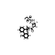 CCS(=O)(=O)NC[C@@H]1[C@H](C)CN1C(=O)[C@@H]1C[C@@]1(F)c1ccccc1-c1c(F)cccc1F